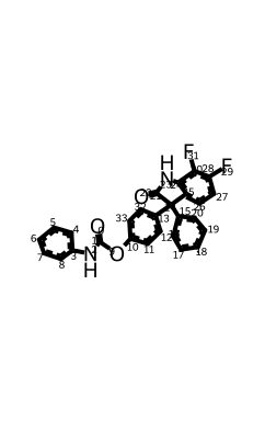 O=C(Nc1ccccc1)Oc1ccc(C2(c3cc[c]cc3)C(=O)Nc3c2ccc(F)c3F)cc1